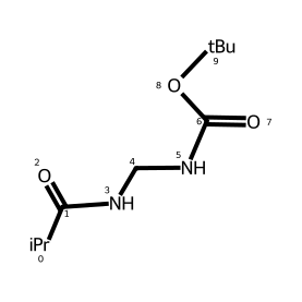 CC(C)C(=O)NCNC(=O)OC(C)(C)C